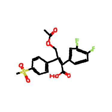 CC(=O)OCC(=C(C(=O)O)c1ccc(F)c(F)c1)c1ccc(S(C)(=O)=O)cc1